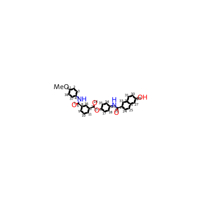 COc1ccc(NC(=O)c2cccc(C(=O)Oc3ccc(NC(=O)c4ccc5cc(O)ccc5c4)cc3)c2)cc1